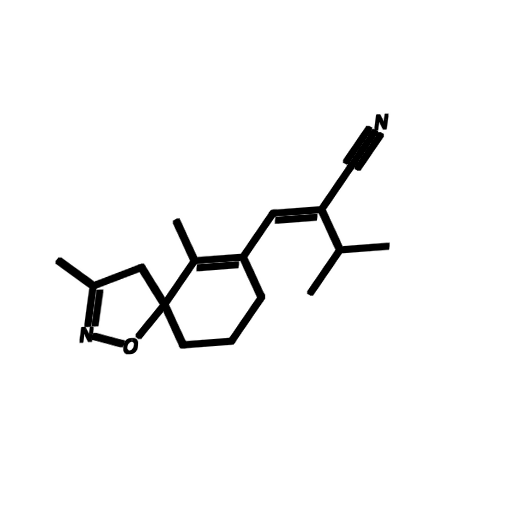 CC1=NOC2(CCCC(/C=C(/C#N)C(C)C)=C2C)C1